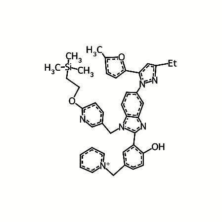 CCc1cc(-c2ccc(C)o2)n(-c2ccc3c(c2)nc(-c2cc(C[n+]4ccccc4)ccc2O)n3Cc2ccc(OCC[Si](C)(C)C)nc2)n1